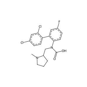 CN1CCCC1CN(C(=O)O)c1ccc(F)cc1-c1ccc(Cl)cc1Cl